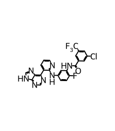 O=C(Nc1cc(Nc2ncccc2-c2ncnc3[nH]cnc23)ccc1F)c1cc(Cl)cc(C(F)(F)F)c1